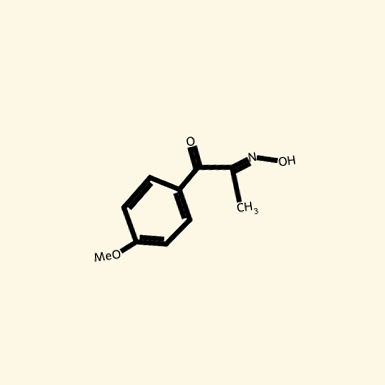 COc1ccc(C(=O)/C(C)=N/O)cc1